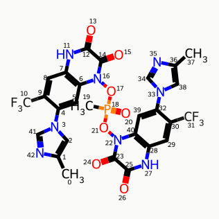 Cc1cn(-c2cc3c(cc2C(F)(F)F)[nH]c(=O)c(=O)n3OP(C)(=O)On2c(=O)c(=O)[nH]c3cc(C(F)(F)F)c(-n4cnc(C)c4)cc32)cn1